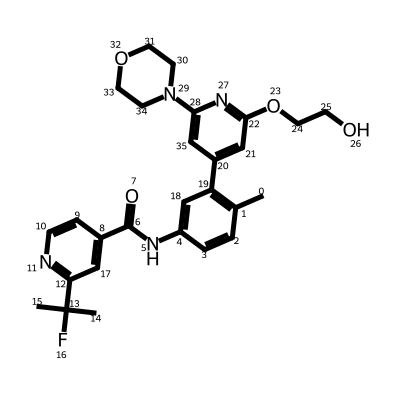 Cc1ccc(NC(=O)c2ccnc(C(C)(C)F)c2)cc1-c1cc(OCCO)nc(N2CCOCC2)c1